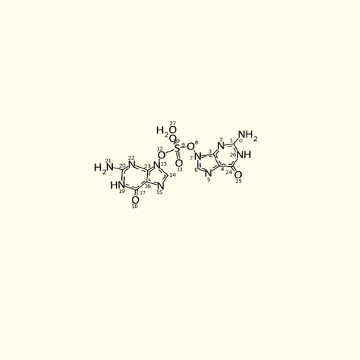 Nc1nc2c(ncn2OS(=O)(=O)On2cnc3c(=O)[nH]c(N)nc32)c(=O)[nH]1.O